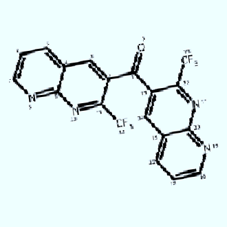 O=C(c1cc2cccnc2nc1C(F)(F)F)c1cc2cccnc2nc1C(F)(F)F